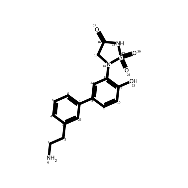 NCCc1cccc(-c2ccc(O)c(N3CC(=O)NS3(=O)=O)c2)c1